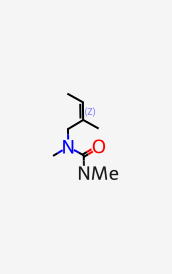 C/C=C(/C)CN(C)C(=O)NC